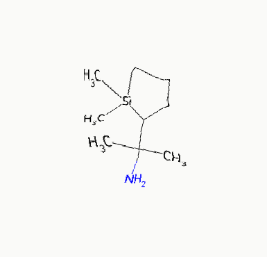 CC(C)(N)C1CCC[Si]1(C)C